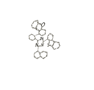 c1ccc(-c2cccc3oc4ccccc4c23)c(-c2nc(-c3cccc4ccccc34)nc(-c3cccc4c3sc3ccccc34)n2)c1